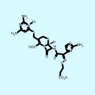 CC[n+]1c(SCC2=C(C(=O)[O-])N3C(=O)[C@@H](NC(=O)/C(=N\OCCC(=O)O)c4csc(N)n4)[C@H]3SC2)cc(N)nc1N